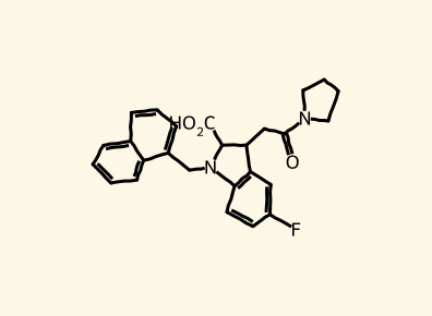 O=C(O)C1C(CC(=O)N2CCCC2)c2cc(F)ccc2N1Cc1cccc2ccccc12